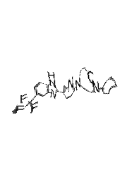 FC(F)(F)c1ccc2[nH]c(-c3ccc(N4CCCN(c5ccccc5)CC4)nc3)nc2c1